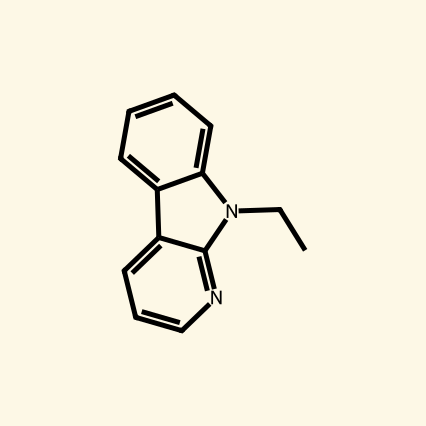 CCn1c2ccccc2c2cccnc21